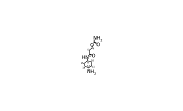 NC(=O)OCCC(=O)N[C@H]1CC[C@H](N)CC1